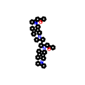 c1ccc(C2(c3ccccc3)c3cc(-n4c5ccccc5c5c(-c6cccc7c6c6ccc8c9ccccc9oc8c6n7-c6ccc7c(c6)C6(c8ccccc8-c8ccccc86)c6cc(-n8c9ccccc9c9ccccc98)ccc6-7)cccc54)ccc3-c3ccc(-n4c5ccccc5c5ccc6c7ccccc7oc6c54)cc32)cc1